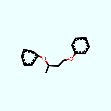 C[C](CCOc1ccccc1)Oc1ccccc1